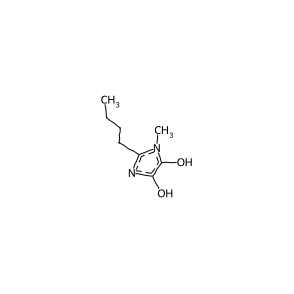 CCCCc1nc(O)c(O)n1C